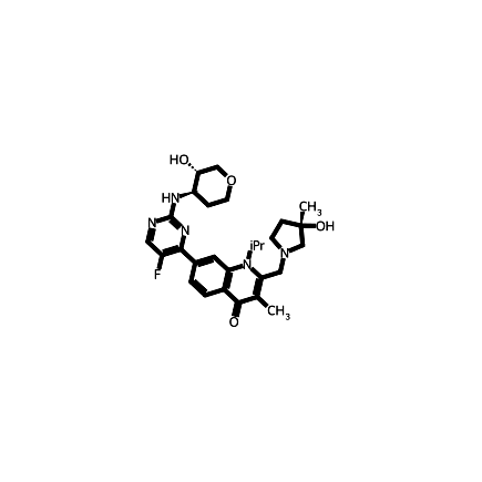 Cc1c(CN2CC[C@](C)(O)C2)n(C(C)C)c2cc(-c3nc(N[C@@H]4CCOC[C@H]4O)ncc3F)ccc2c1=O